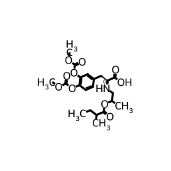 CCC(C)C(=O)OC(C)CN[C@@H](Cc1ccc(OC(=O)OC)c(OC(=O)OC)c1)C(=O)O